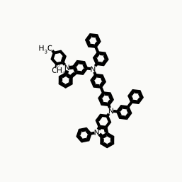 CC1CC=C(n2c3ccccc3c3cc(N(c4ccc(-c5ccc(N(c6cccc(-c7ccccc7)c6)C6C=Cc7c(c8ccccc8n7-c7ccccc7)C6)cc5)cc4)c4cccc(-c5ccccc5)c4)ccc32)[C@@H](C)C1